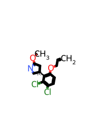 C=CCOc1ccc(Cl)c(Cl)c1[C@H]1CN=C(OC)C1